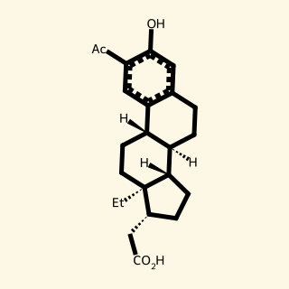 CC[C@]12CC[C@@H]3c4cc(C(C)=O)c(O)cc4CC[C@H]3[C@@H]1CC[C@@H]2CC(=O)O